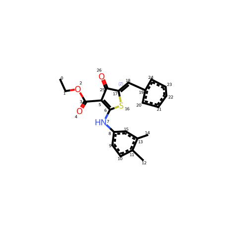 CCOC(=O)C1=C(Nc2ccc(C)c(C)c2)S/C(=C\c2ccccc2)C1=O